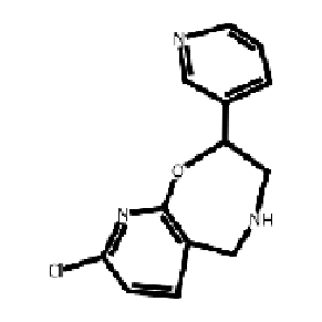 Clc1ccc2c(n1)OC(c1cccnc1)CNC2